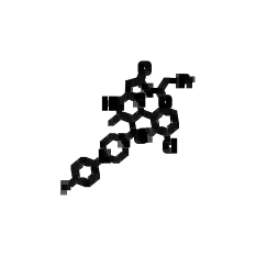 CC1=C(C(=O)N2CCN(c3ccc(F)cc3)CC2)C(c2cccc(Cl)c2Cl)n2c(cc(=O)n2C(=O)CC(C)C)N1